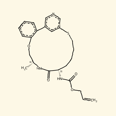 C=CCOC(=O)N[C@H]1CCCCSc2cncc(c2)-c2ccccc2OC[C@@H](C)NC1=O